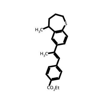 CCOC(=O)c1ccc(/C=C(\C)c2ccc3c(c2)C(C)CCCS3)cc1